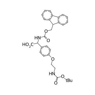 CC(C)(C)OC(=O)NCCOc1ccc(C(NC(=O)OCC2c3ccccc3-c3ccccc32)C(=O)O)cc1